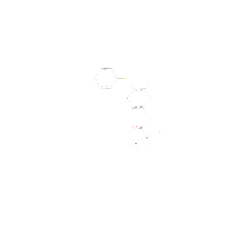 Cc1nc(NC(=O)C(C)(O)C(F)(F)F)ccc1Sc1ccccc1